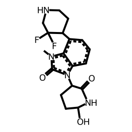 Cn1c(=O)n(C2CCC(O)NC2=O)c2cccc(C3CCNCC3(F)F)c21